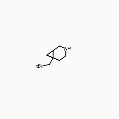 CC(C)(C)CC12CCNCC1C2